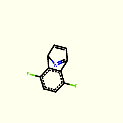 Fc1ccc(F)c2c1C1=NC2C=C1